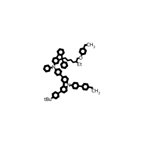 C=Cc1ccc(OCC(CC)CCCCC2(c3ccccc3)c3ccccc3-c3ccc(N(c4ccccc4)c4ccc(-c5ccc6c(c5)c5cc(-c7ccc(C(C)(C)C)cc7)ccc5n6-c5ccc(-c6ccc(C=C)cc6)cc5)cc4)cc32)cc1